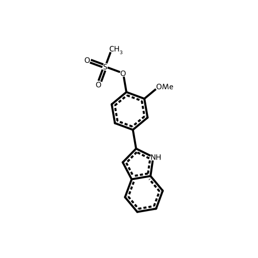 COc1cc(-c2cc3ccccc3[nH]2)ccc1OS(C)(=O)=O